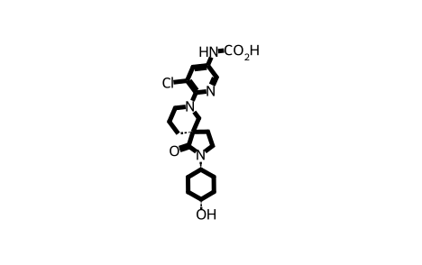 O=C(O)Nc1cnc(N2CCC[C@@]3(CCN([C@H]4CC[C@@H](O)CC4)C3=O)C2)c(Cl)c1